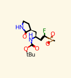 CC(C)(C)OC(=O)N[C@H](C=C(F)S(C)(=O)=O)C[C@@H]1CCNC1=O